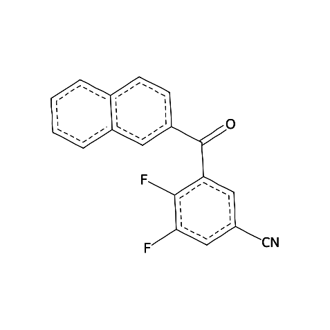 N#Cc1cc(F)c(F)c(C(=O)c2ccc3ccccc3c2)c1